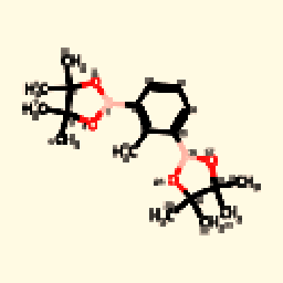 Cc1c(B2OC(C)(C)C(C)(C)O2)cccc1B1OC(C)(C)C(C)(C)O1